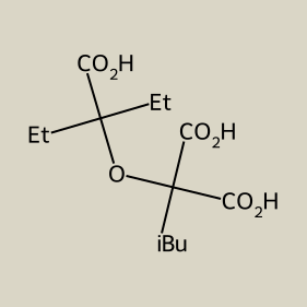 CCC(C)C(OC(CC)(CC)C(=O)O)(C(=O)O)C(=O)O